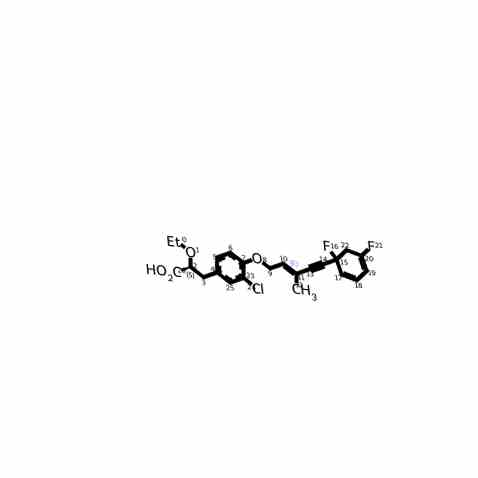 CCO[C@@H](Cc1ccc(OC/C=C(\C)C#CC2(F)C=CC=C(F)C2)c(Cl)c1)C(=O)O